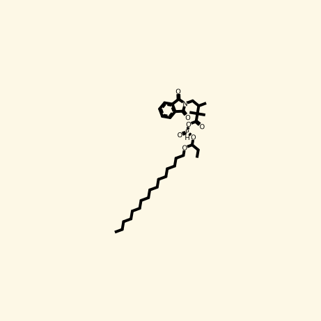 CCCCCCCCCCCCCCCCOC(CC)O[PH](=O)OC(=O)C(C)(C)C(C)CN1C(=O)c2ccccc2C1=O